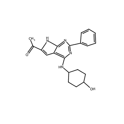 CC(=O)c1cc2c(NC3CCC(O)CC3)nc(-c3ccccc3)nc2[nH]1